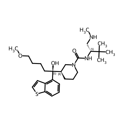 CNC[C@@H](NC(=O)N1CCC[C@@H]([C@@](O)(CCCCOC)c2cccc3sccc23)C1)C(C)(C)C